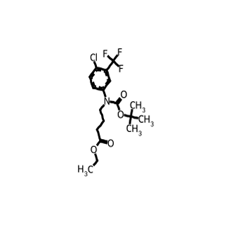 CCOC(=O)CCCN(C(=O)OC(C)(C)C)c1ccc(Cl)c(C(F)(F)F)c1